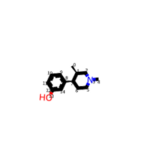 C[C@H]1CN(C)CC[C@H]1c1cccc(O)c1